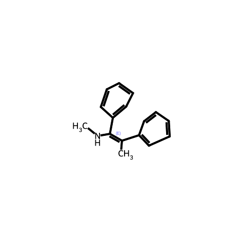 CN/C(=C(\C)c1ccccc1)c1ccccc1